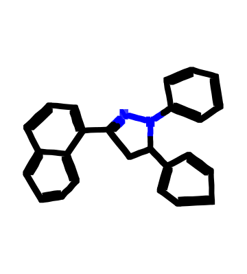 c1ccc(C2CC(c3cccc4ccccc34)=NN2c2ccccc2)cc1